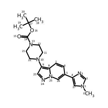 Cn1cnc(-c2ccc3c(N4CCN(C(=O)OC(C)(C)C)CC4)cnn3c2)c1